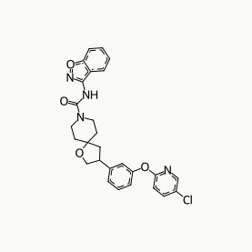 O=C(Nc1noc2ccccc12)N1CCC2(CC1)CC(c1cccc(Oc3ccc(Cl)cn3)c1)CO2